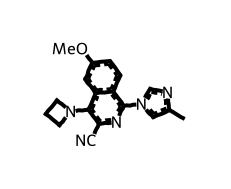 COc1ccc2c(-n3cnc(C)c3)nc(C#N)c(N3CCC3)c2c1